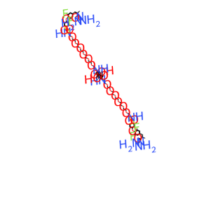 CC(=Cc1cc(F)c(Oc2ccc(S(=O)(=O)NCCOCCOCCOCCOCCOCCOCCNC(=O)[C@H](O)[C@@H](O)C(=O)NCCOCCOCCOCCOCCOCCOCCNS(=O)(=O)c3ccc(Oc4c(F)cc(C=C(C)C(=O)N=C(N)N)cc4F)cc3)cc2)c(F)c1)C(=O)N=C(N)N